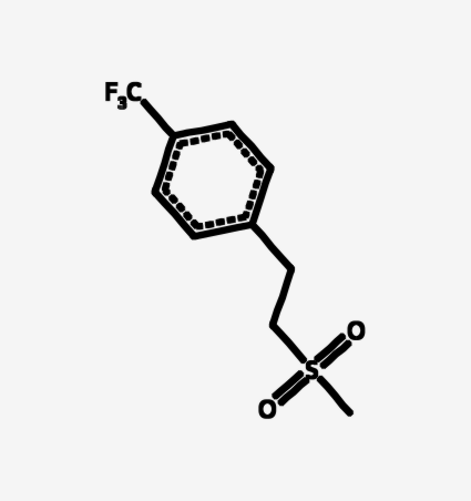 CS(=O)(=O)CCc1ccc(C(F)(F)F)cc1